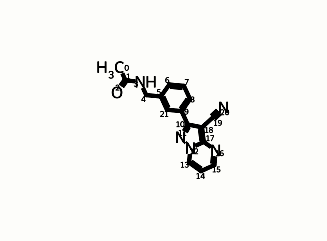 CC(=O)NCc1cccc(-c2nn3cccnc3c2C#N)c1